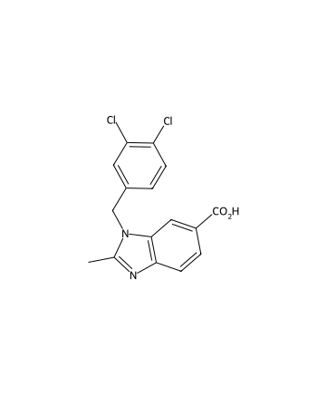 Cc1nc2ccc(C(=O)O)cc2n1Cc1ccc(Cl)c(Cl)c1